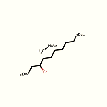 CCCCCCCCCCCCCCCCC(Br)CCCCCCCCCCC.CNC